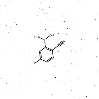 N#Cc1ccc(F)cc1B(O)O